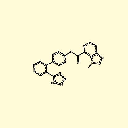 Cn1cnc2cccc(C(=O)Oc3ccc(-c4ccccc4-c4nnn[nH]4)cc3)c21